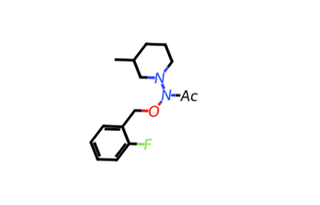 CC(=O)N(OCc1ccccc1F)N1CCCC(C)C1